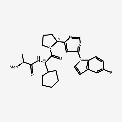 CN[C@@H](C)C(=O)N[C@H](C(=O)N1CCC[C@H]1c1cc(-n2ccc3cc(F)ccc32)ncn1)C1CCCCC1